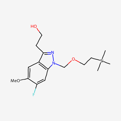 COc1cc2c(CCO)nn(COCC[Si](C)(C)C)c2cc1F